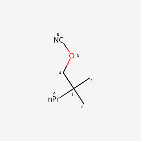 CCCC(C)(C)COC#N